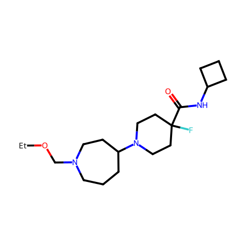 CCOCN1CCCC(N2CCC(F)(C(=O)NC3CCC3)CC2)CC1